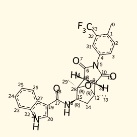 Cc1ccc(N2C(=O)[C@@H]3[C@H](C2=O)[C@@]2(C)C[C@@H](NC(=O)c4c[nH]c5ccccc45)[C@]3(C)O2)cc1C(F)(F)F